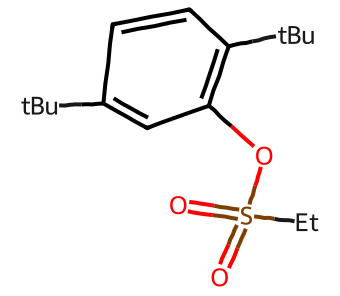 CCS(=O)(=O)Oc1cc(C(C)(C)C)ccc1C(C)(C)C